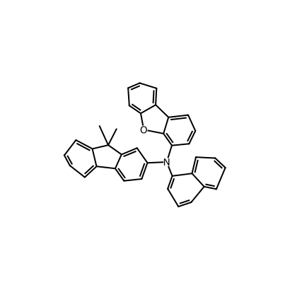 CC1(C)c2ccccc2-c2ccc(N(c3cccc4ccccc34)c3cccc4c3oc3ccccc34)cc21